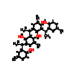 CCc1ccc(O)c(C(C)c2cc(CC)cc(C(C)c3cc(CC)cc(C(C)c4cc(CC)ccc4O)c3O)c2O)c1